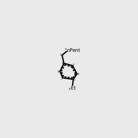 CCCCC[CH]c1ccc(CC)cc1